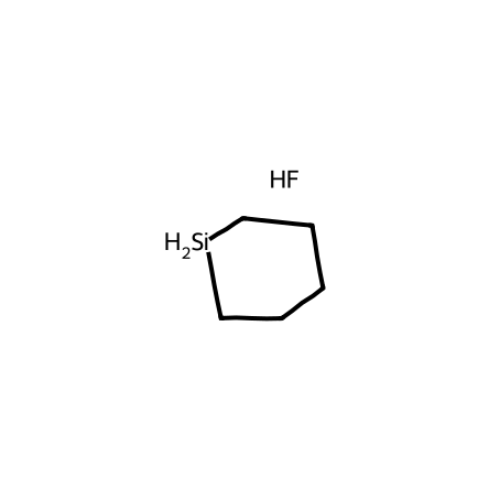 C1CC[SiH2]CC1.F